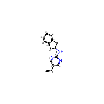 C=Cc1cnc(NC2Cc3ccccc3C2)nc1